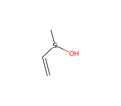 C=C[Si](C)O